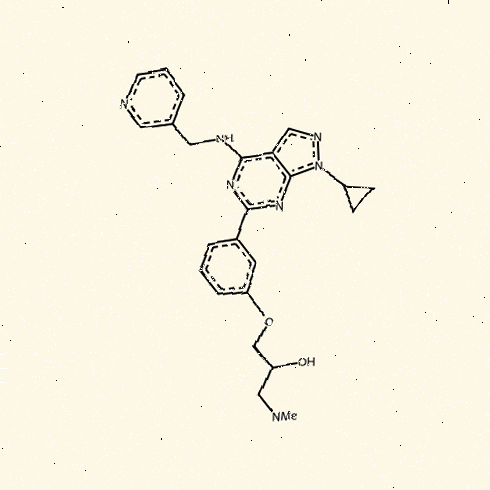 CNCC(O)COc1cccc(-c2nc(NCc3cccnc3)c3cnn(C4CC4)c3n2)c1